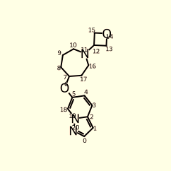 c1cc2ccc(OC3CCCN(C4COC4)CC3)cn2n1